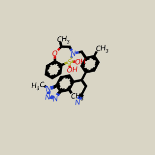 Cc1ccc(C(CC#N)c2ccc3c(nnn3C)c2C)cc1CN1CC(C)Oc2ccccc2S1(O)O